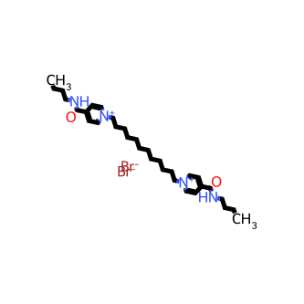 CCCCNC(=O)c1cc[n+](CCCCCCCCCCCC[n+]2ccc(C(=O)NCCCC)cc2)cc1.[Br-].[Br-]